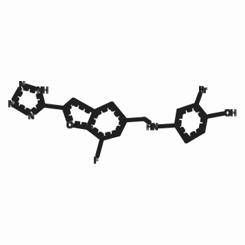 Oc1ccc(NCc2cc(F)c3oc(-c4nnn[nH]4)cc3c2)cc1Br